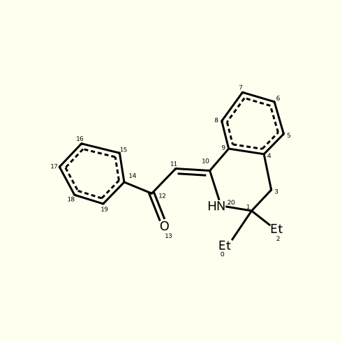 CCC1(CC)Cc2ccccc2C(=CC(=O)c2ccccc2)N1